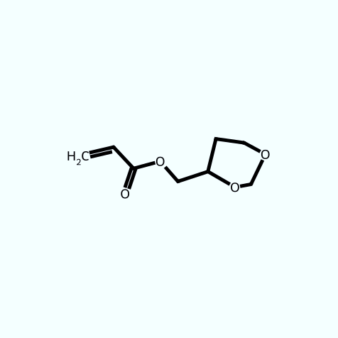 C=CC(=O)OCC1CCOCO1